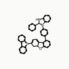 C1=C2c3c(cccc3-c3ccc(N4c5ccccc5NC4c4ccccc4)cc3)OC2CC(n2c3ccccc3c3ccccc32)=C1